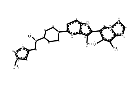 Cc1c(-c2[nH]c3ccc(N4CCC(N(C)Cc5cn(C)nn5)CC4)nc3c2C(C)C)cn2ncnc2c1C